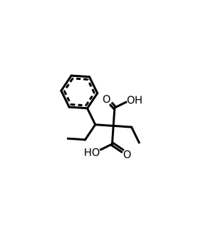 CCC(c1ccccc1)C(CC)(C(=O)O)C(=O)O